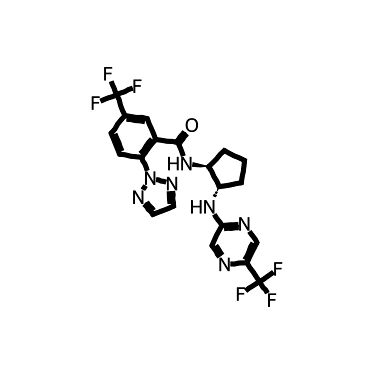 O=C(N[C@H]1CCC[C@@H]1Nc1cnc(C(F)(F)F)cn1)c1cc(C(F)(F)F)ccc1-n1nccn1